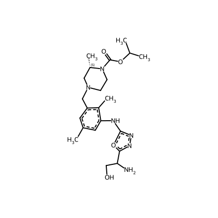 Cc1cc(CN2CCN(C(=O)OC(C)C)[C@@H](C)C2)c(C)c(Nc2nnc(C(N)CO)o2)c1